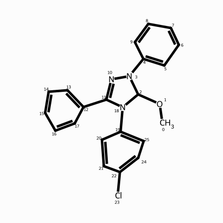 COC1N(c2ccccc2)N=C(c2ccccc2)N1c1ccc(Cl)cc1